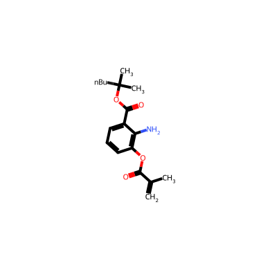 C=C(C)C(=O)Oc1cccc(C(=O)OC(C)(C)CCCC)c1N